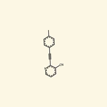 Cc1ccc(C#Cc2ncccc2C#N)cc1